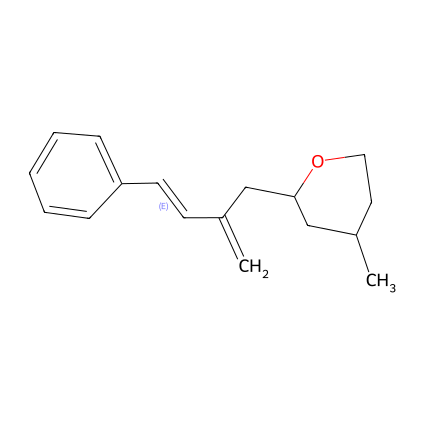 C=C(/C=C/c1ccccc1)CC1CC(C)CCO1